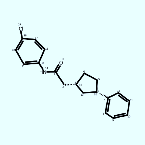 O=C(C[C@@H]1CC[C@H](c2ccccc2)C1)Nc1ccc(Cl)cc1